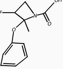 CC1(Oc2ccccc2)C(F)CN1C(=O)O